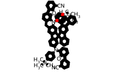 C[Si](C)(C)c1ccc(N(c2ccc3c(c2)C2(c4ccccc4-c4cc5c6ccccc6c6ccccc6c5cc42)c2cc4c(cc2-3)Cc2ccc3c(oc5c(C#N)cccc53)c2N4c2ccc([Si](C)(C)C)cc2)c2cccc3c2oc2c(C#N)cccc23)cc1